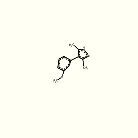 Cc1n[nH]c(C)c1-c1cccc(OC(F)(F)F)c1